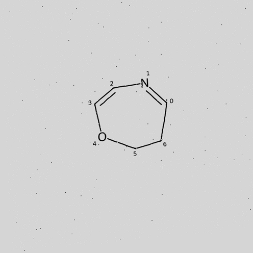 [C]1=NC=COCC1